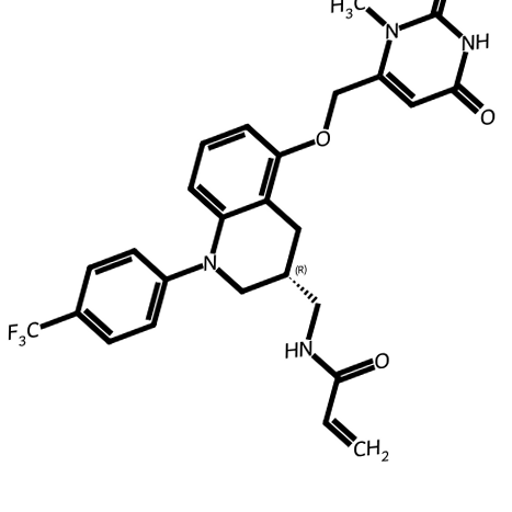 C=CC(=O)NC[C@H]1Cc2c(OCc3cc(=O)[nH]c(=O)n3C)cccc2N(c2ccc(C(F)(F)F)cc2)C1